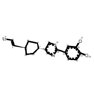 CCC=C[C@H]1CC[C@H](c2cnc(-c3ccc(Cl)c(Cl)c3)nc2)CC1